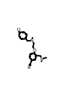 CN(C)Cc1cc(C#N)ccc1OCCN(C)Cc1ccc(Cl)cc1